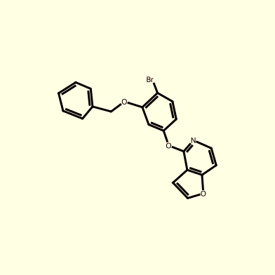 Brc1ccc(Oc2nccc3occc23)cc1OCc1ccccc1